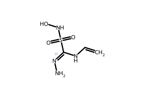 C=CN/C(=N\N)S(=O)(=O)NO